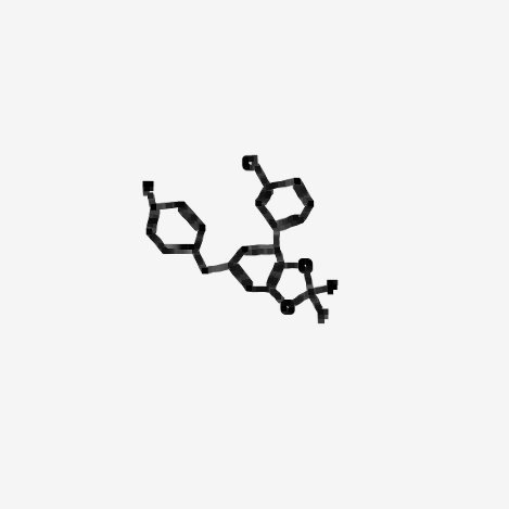 Fc1ccc(Cc2cc3c(c(-c4cccc(Cl)c4)c2)OC(F)(F)O3)cc1